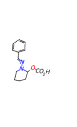 O=C(O)OC1CCCCN1/N=C/c1ccccc1